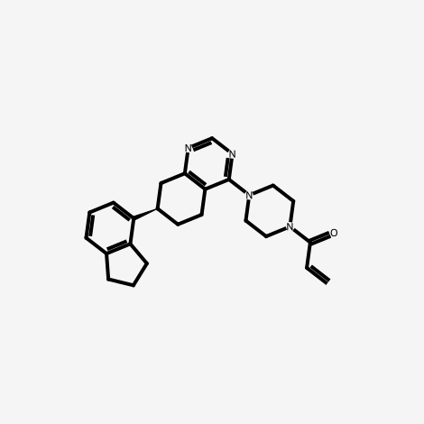 C=CC(=O)N1CCN(c2ncnc3c2CC[C@@H](c2cccc4c2CCC4)C3)CC1